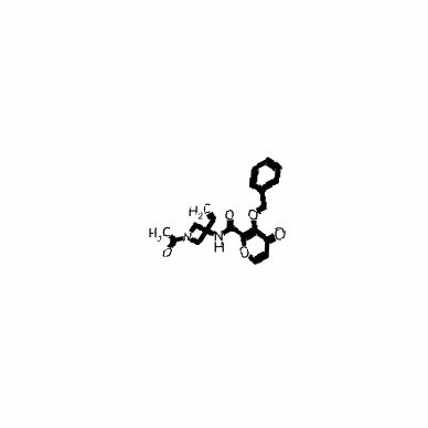 C=CC1(NC(=O)c2occc(=O)c2OCc2ccccc2)CN(C(C)=O)C1